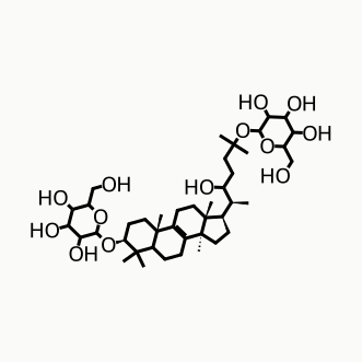 C[C@H](C(O)CCC(C)(C)OC1OC(CO)C(O)C(O)C1O)[C@H]1CC[C@@]2(C)C3=C(CC[C@]12C)[C@@]1(C)CC[C@H](OC2OC(CO)C(O)C(O)C2O)C(C)(C)C1CC3